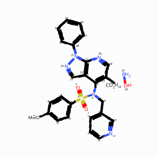 COc1ccc(S(=O)(=O)N(Cc2cccnc2)c2c(C(=O)O)cnc3c2cnn3-c2ccccc2)cc1.NO